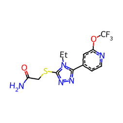 CCn1c(SCC(N)=O)nnc1-c1ccnc(OC(F)(F)F)c1